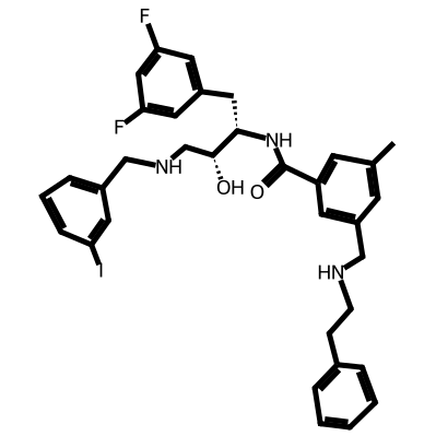 Cc1cc(CNCCc2ccccc2)cc(C(=O)N[C@@H](Cc2cc(F)cc(F)c2)[C@H](O)CNCc2cccc(I)c2)c1